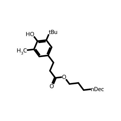 CCCCCCCCCCCCCOC(=O)CCc1cc(C)c(O)c(C(C)(C)C)c1